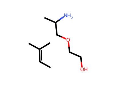 CC(N)COCCO.CC=C(C)C